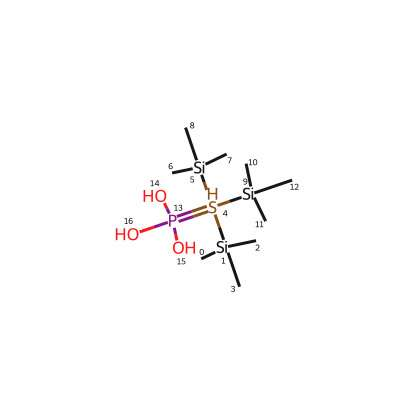 C[Si](C)(C)[SH]([Si](C)(C)C)([Si](C)(C)C)=P(O)(O)O